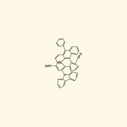 N#Cc1ccc(-c2cccc(C#N)c2-c2c3ccccc3c(-c3ccccc3)c3ccccc23)c(-n2c3ccccc3c3ccccc32)c1